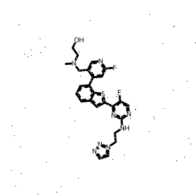 CN(CCO)Cc1cnc(F)cc1-c1cccc2cc(-c3nc(NCCn4ccnn4)ncc3F)sc12